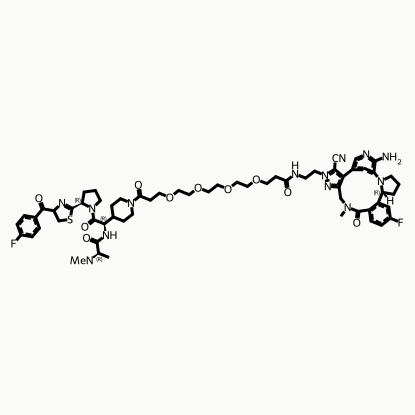 CN[C@H](C)C(=O)N[C@@H](C(=O)N1CCC[C@@H]1C1=NC(C(=O)c2ccc(F)cc2)CS1)C1CCN(C(=O)CCOCCOCCOCCOCCC(=O)NCCn2nc3c(c2C#N)-c2cnc(N)c(c2)N2CCC[C@@H]2c2cc(F)ccc2C(=O)N(C)C3)CC1